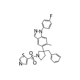 Cc1cc2c(cnn2-c2ccc(F)cc2)cc1C1(Cc2ccccc2)CCN(S(=O)(=O)c2cncs2)C1